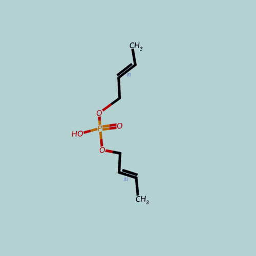 C/C=C/COP(=O)(O)OC/C=C/C